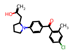 C=C(O)CC1CCCN1c1ccc(C(=O)c2ccc(Cl)cc2C)cc1